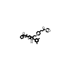 Cc1cc(C)cc(-c2[nH]c3sc(C(C)(C)CC4C5CCC4C(=O)N5)cc3c2CCN2CCC(CCC(=O)N3CCOCC3)CC2)c1